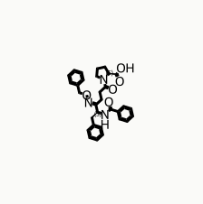 O=C(N[C@@H](Cc1ccccc1)C(CCC(=O)N1CCC[C@H]1C(=O)O)=NOCc1ccccc1)c1ccccc1